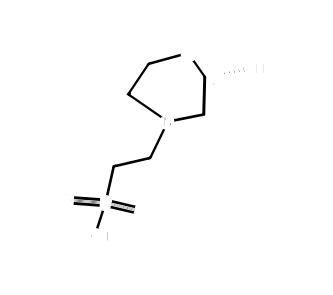 C[C@@H]1CN(CCS(C)(=O)=O)CCO1